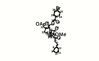 CO[C@@]1(NC(=O)CSc2ccccc2)C(=O)N2C(C(=O)OCC(=O)c3ccc(Br)cc3)=C(COC(C)=O)CS[C@H]21